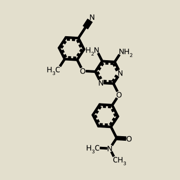 Cc1ccc(C#N)cc1Oc1nc(Oc2cccc(C(=O)N(C)C)c2)nc(N)c1N